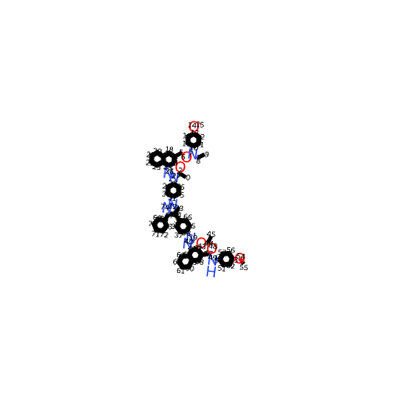 CCOc1c(CON(CC)c2ccc(OC)cc2)cc2ccccc2c1N=Nc1ccc(-n2cc(-c3ccc(N=Nc4c(OCC)c(C(=O)Nc5ccc(OC)cc5)cc5ccccc45)cc3)c(-c3ccccc3)n2)cc1